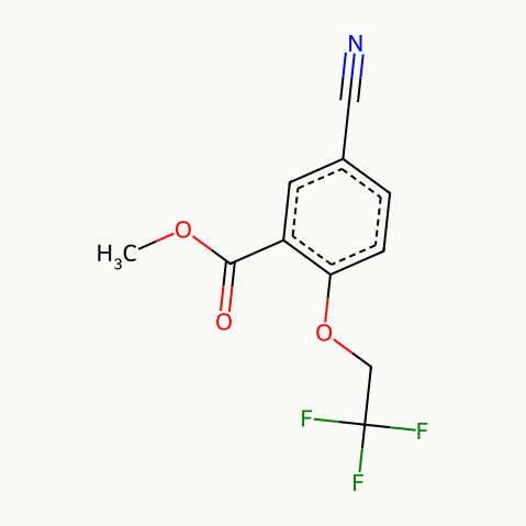 COC(=O)c1cc(C#N)ccc1OCC(F)(F)F